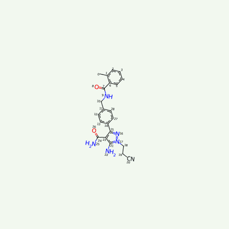 Cc1ccccc1C(=O)NCc1ccc(-c2nn(CCC#N)c(N)c2C(N)=O)cc1